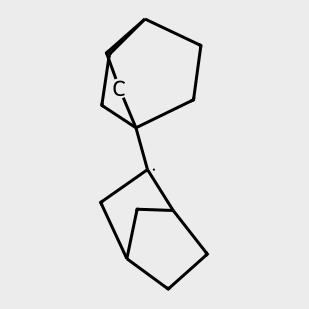 C1CC2([C]3CC4CCC3C4)CCC1CC2